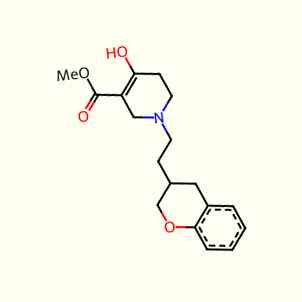 COC(=O)C1=C(O)CCN(CCC2COc3ccccc3C2)C1